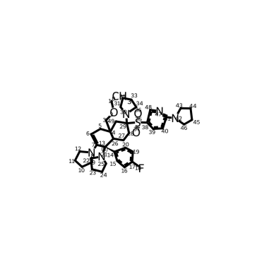 CCOCC12CC=C(N3CCCC3)[C@@](c3ccc(F)cc3)(N3CCCC3)C1CCC(N1CCCC1)(S(=O)(=O)c1ccc(N3CCCC3)nc1)C2